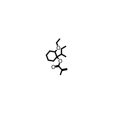 C=C(C)C(=O)OC1(C(C)CC)CCCCC1OCC